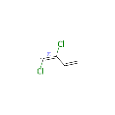 C=C/C(Cl)=[C]\Cl